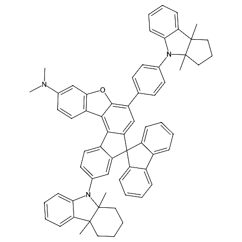 CN(C)c1ccc2c(c1)oc1c(-c3ccc(N4c5ccccc5C5(C)CCCC45C)cc3)cc3c(c12)-c1ccc(N2c4ccccc4C4(C)CCCCC24C)cc1C31c2ccccc2-c2ccccc21